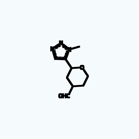 Cn1nncc1C1CC(C=O)CCO1